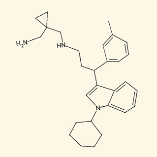 Cc1cccc(C(CCNCC2(CN)CC2)c2cn(C3CCCCC3)c3ccccc23)c1